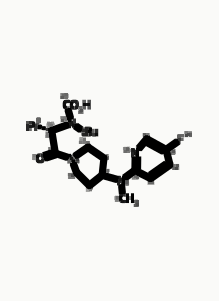 CC(C)[C@@H](C(=O)N1CCC(N(C)c2ccc(F)cn2)CC1)N(C(=O)O)C(C)(C)C